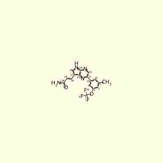 Cc1cc(OC(F)(F)F)cc(-c2cnc3[nH]cc(/C=C/C(N)=O)c3n2)c1